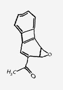 CC(=O)C1=CC2=C(c3ccccc32)C2OC12